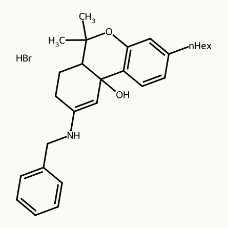 Br.CCCCCCc1ccc2c(c1)OC(C)(C)C1CCC(NCc3ccccc3)=CC21O